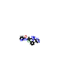 O=C(NC1CC(c2nnc(-c3ccncn3)n2-c2ccccc2Cl)C1)c1cccnc1